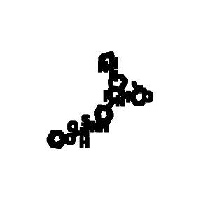 C[C@H]1COCCN1c1nc(-c2ccc(NC(=S)NC(=O)Oc3ccccc3)cc2)nc2c1CCN(c1ncccn1)C2